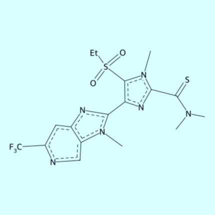 CCS(=O)(=O)c1c(-c2nc3cc(C(F)(F)F)ncc3n2C)nc(C(=S)N(C)C)n1C